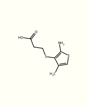 Cc1csc(N)c1SCCC(=O)O